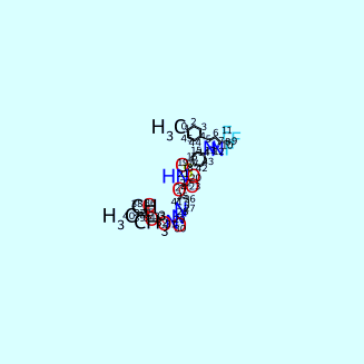 Cc1ccc(-c2cc(C(F)(F)F)nn2-c2ccc(S(=O)(=O)NC(=O)OC3CCN(n4on4OCOC(=O)C(C)(C)C)C3)cc2)cc1